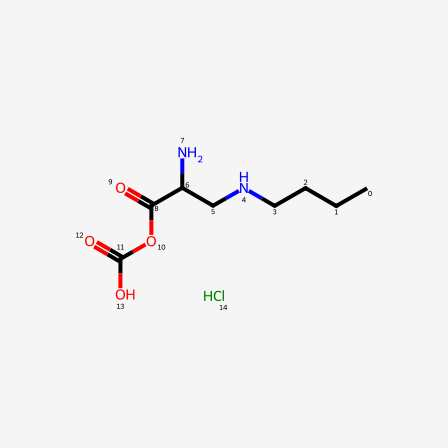 CCCCNCC(N)C(=O)OC(=O)O.Cl